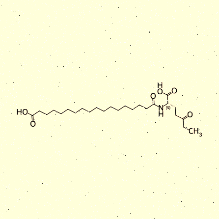 CCC(=O)CC[C@H](NC(=O)CCCCCCCCCCCCCCCCC(=O)O)C(=O)O